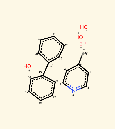 CC(C)c1ccncc1.[B+3].[OH-].[OH-].[OH-].c1ccc(-c2ccccc2)cc1